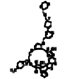 Cc1c(Cl)c2c(Cl)c(C)c1-c1c(C3=CCCC3)sc3ncnc(c13)O[C@@H](C(=O)O)Cc1cc(ccc1OCc1ccnc(C3=CC[C@](F)(COC[C@H]4COCCO4)CC3)n1)OCC[C@@H](CN1CCN(C)CC1)O2